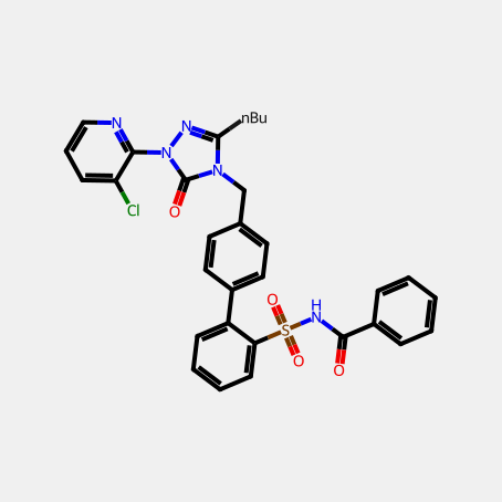 CCCCc1nn(-c2ncccc2Cl)c(=O)n1Cc1ccc(-c2ccccc2S(=O)(=O)NC(=O)c2ccccc2)cc1